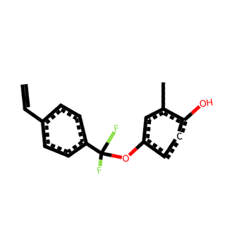 C=Cc1ccc(C(F)(F)Oc2ccc(O)c(C)c2)cc1